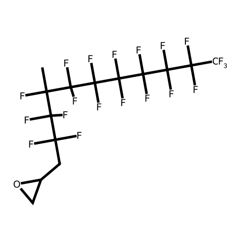 CC(F)(C(F)(F)C(F)(F)CC1CO1)C(F)(F)C(F)(F)C(F)(F)C(F)(F)C(F)(F)C(F)(F)C(F)(F)F